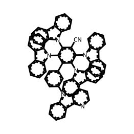 N#Cc1c(-n2c3ccccc3c3ccccc32)c(-n2c3ccccc3c3ccccc32)c(-c2cccc(-n3c4ccccc4c4ncccc43)c2)c(-n2c3ccccc3c3ccccc32)c1-n1c2ccccc2c2ccccc21